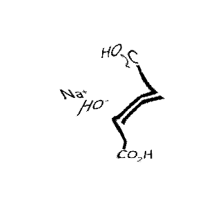 O=C(O)/C=C/C(=O)O.[Na+].[OH-]